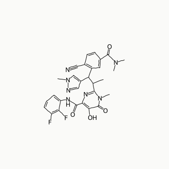 CC(c1nc(C(=O)Nc2cccc(F)c2F)c(O)c(=O)n1C)C(c1cnn(C)c1)c1cc(C(=O)N(C)C)ccc1C#N